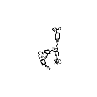 CC(C)c1cccc(NCc2cc(-c3nn(CCCN4CCC(N5CCCC5=O)CC4)c4c3CN(S(C)(=O)=O)CC4)ccc2Cl)c1